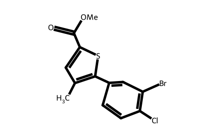 COC(=O)c1cc(C)c(-c2ccc(Cl)c(Br)c2)s1